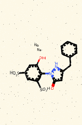 O=c1cc(Cc2ccccc2)[nH]n1-c1c(O)cc(S(=O)(=O)O)cc1S(=O)(=O)O.[Na].[Na]